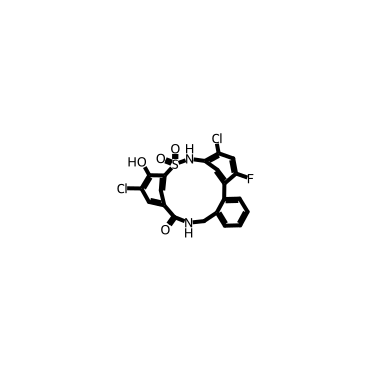 O=C1NCc2ccccc2-c2cc(c(Cl)cc2F)NS(=O)(=O)c2cc1cc(Cl)c2O